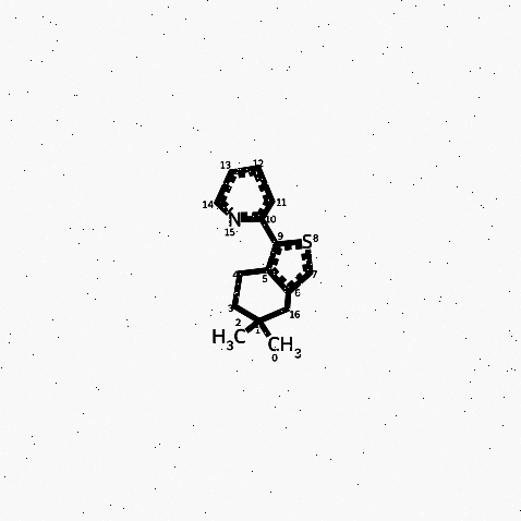 CC1(C)CCc2c(csc2-c2ccccn2)C1